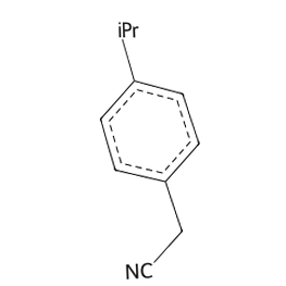 CC(C)c1ccc(CC#N)cc1